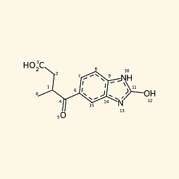 CC(CC(=O)O)C(=O)c1ccc2[nH]c(O)nc2c1